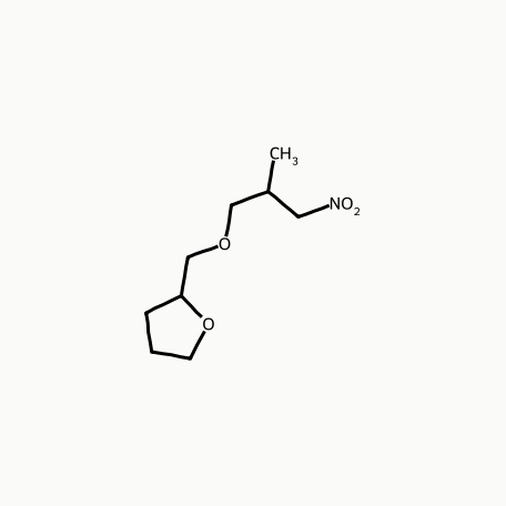 CC(COCC1CCCO1)C[N+](=O)[O-]